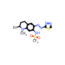 CCC1CCc2cc(N=Nc3nncs3)c(NS(=O)(=O)C(F)(F)F)cc2N1C